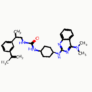 C=C(C)c1cccc(C(C)CNC(=O)NC2CCC(Nc3nc(N(C)C)c4ccccc4n3)CC2)c1